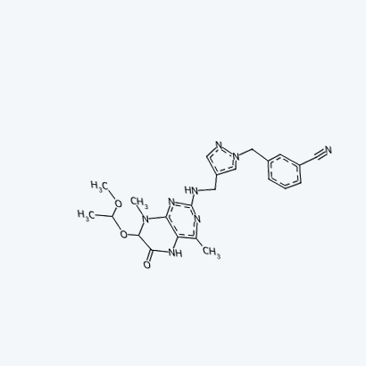 COC(C)OC1C(=O)Nc2c(C)nc(NCc3cnn(Cc4cccc(C#N)c4)c3)nc2N1C